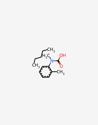 CCCCC.Cc1ccccc1N(C)C(=O)O